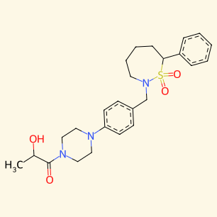 CC(O)C(=O)N1CCN(c2ccc(CN3CCCCC(c4ccccc4)S3(=O)=O)cc2)CC1